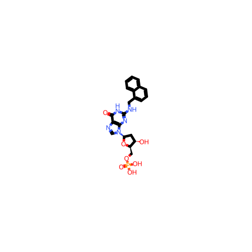 O=c1[nH]c(NCc2cccc3ccccc23)nc2c1ncn2[C@H]1C[C@H](O)[C@@H](COP(=O)(O)O)O1